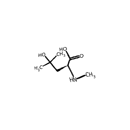 CN[C@@H](CC(C)(C)O)C(=O)O